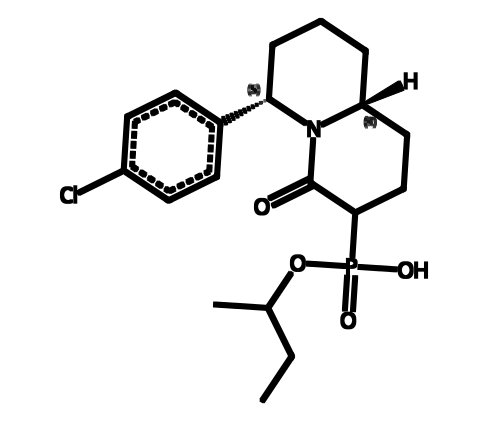 CCC(C)OP(=O)(O)C1CC[C@H]2CCC[C@@H](c3ccc(Cl)cc3)N2C1=O